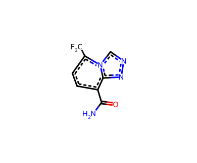 NC(=O)c1ccc(C(F)(F)F)n2cnnc12